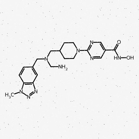 Cn1nnc2cc(CN(CN)CC3CCN(c4ncc(C(=O)NO)cn4)CC3)ccc21